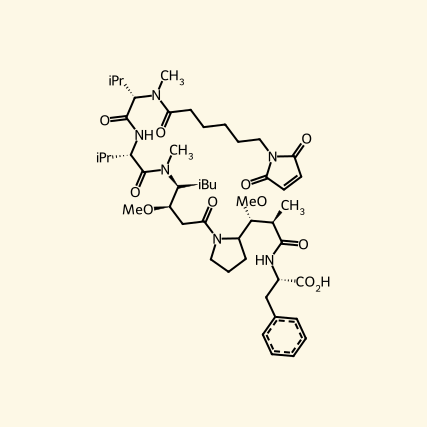 CC[C@H](C)[C@@H]([C@@H](CC(=O)N1CCCC1[C@H](OC)[C@@H](C)C(=O)N[C@@H](Cc1ccccc1)C(=O)O)OC)N(C)C(=O)[C@@H](NC(=O)[C@H](C(C)C)N(C)C(=O)CCCCCN1C(=O)C=CC1=O)C(C)C